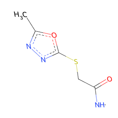 Cc1nnc(SCC([NH])=O)o1